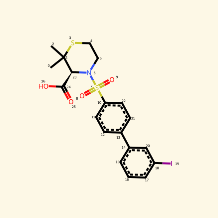 CC1(C)SCCN(S(=O)(=O)c2ccc(-c3cccc(I)c3)cc2)[C@H]1C(=O)O